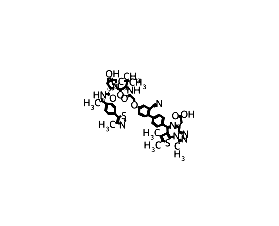 Cc1ncsc1-c1ccc([C@H](C)NC(=O)[C@@H]2C[C@@H](O)CN2C(=O)[C@@H](NC(=O)COc2ccc(-c3ccc(C4=N[C@@H](CC(=O)O)c5nnc(C)n5-c5sc(C)c(C)c54)cc3)c(C#N)c2)C(C)(C)C)cc1